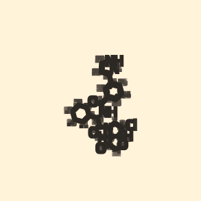 O=C(N[C@H](C(=O)N1C[C@H](Cl)[C@H]2OCC(=O)[C@H]21)C1CCCCC1)c1cccc(-c2cc[nH]n2)c1